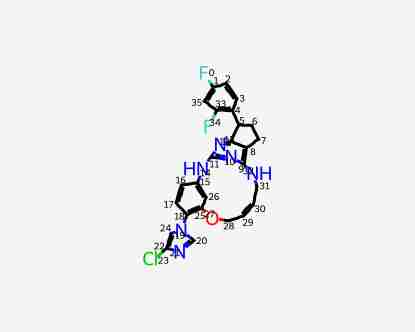 Fc1ccc(C2CCc3c4nc(nc32)Nc2ccc(-n3cnc(Cl)c3)c(c2)OC/C=C\CN4)c(F)c1